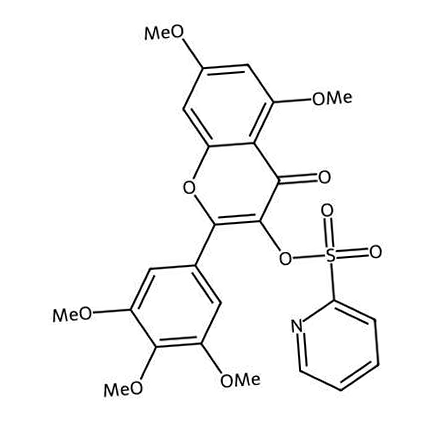 COc1cc(OC)c2c(=O)c(OS(=O)(=O)c3ccccn3)c(-c3cc(OC)c(OC)c(OC)c3)oc2c1